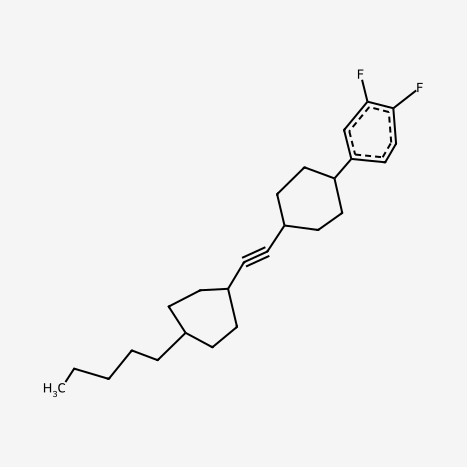 CCCCCC1CCC(C#CC2CCC(c3ccc(F)c(F)c3)CC2)CC1